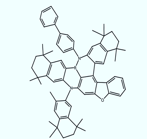 Cc1cc2c(cc1N1c3cc4c(cc3B3c5c1cc1oc6ccccc6c1c5-c1cc5c(cc1N3c1ccc(-c3ccccc3)cc1)C(C)(C)CCC5(C)C)C(C)(C)CCC4(C)C)C(C)(C)CCC2(C)C